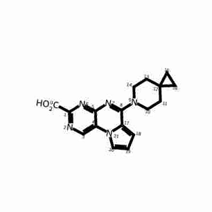 O=C(O)c1ncc2c(n1)nc(N1CCC3(CC1)CC3)c1cccn12